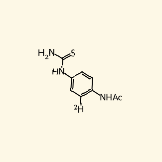 [2H]c1cc(NC(N)=S)ccc1NC(C)=O